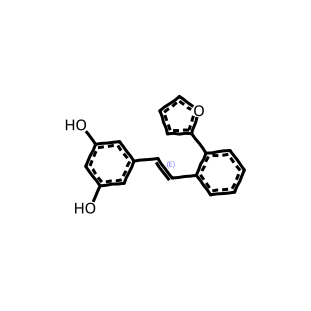 Oc1cc(O)cc(/C=C/c2ccccc2-c2ccco2)c1